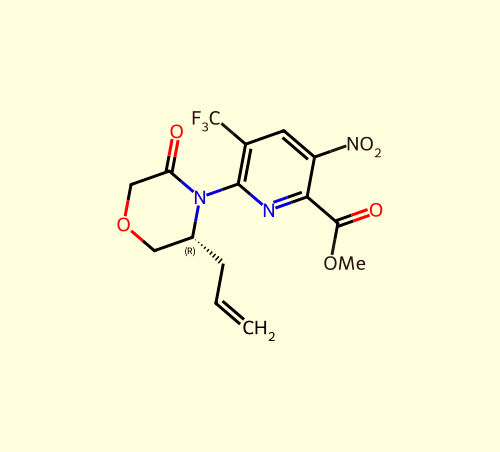 C=CC[C@@H]1COCC(=O)N1c1nc(C(=O)OC)c([N+](=O)[O-])cc1C(F)(F)F